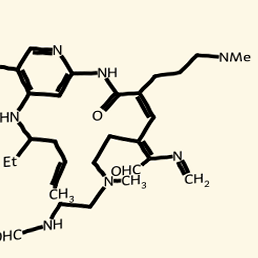 C=N/C(C=O)=C(\C=C(\CCCNC)C(=O)Nc1cc(NC(CC)C/C=C/C)c(C#N)cn1)CCN(C)CCNC=O